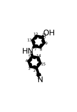 N#Cc1ccc(Nc2ccc(O)cc2)cc1